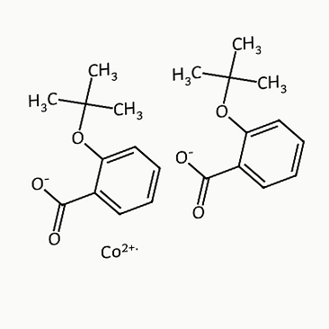 CC(C)(C)Oc1ccccc1C(=O)[O-].CC(C)(C)Oc1ccccc1C(=O)[O-].[Co+2]